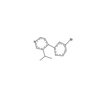 CC(C)c1cnccc1-c1cccc(Br)c1